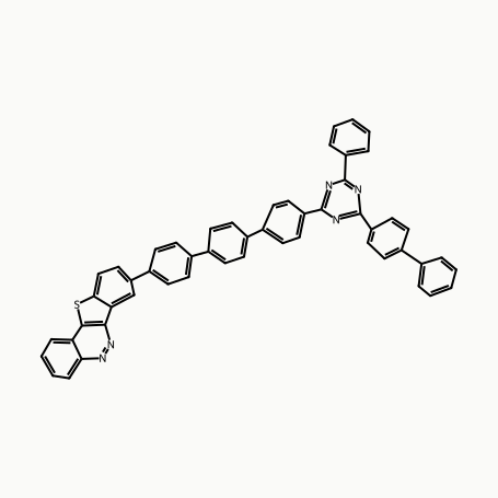 c1ccc(-c2ccc(-c3nc(-c4ccccc4)nc(-c4ccc(-c5ccc(-c6ccc(-c7ccc8sc9c%10ccccc%10nnc9c8c7)cc6)cc5)cc4)n3)cc2)cc1